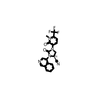 Cn1c(C(F)(F)F)ccc(N2C[C@@H](C#N)N(c3cncc4ccccc34)C2=O)c1=O